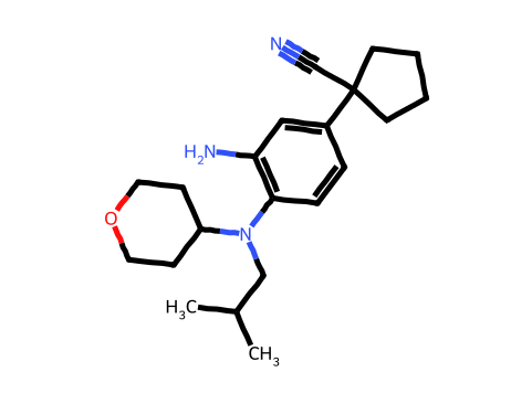 CC(C)CN(c1ccc(C2(C#N)CCCC2)cc1N)C1CCOCC1